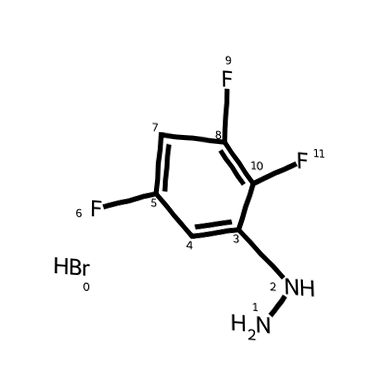 Br.NNc1cc(F)cc(F)c1F